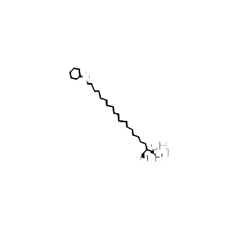 CC(C)(C)C([C]=O)CCCCCCCCCCCCCCCCCCOC1CC[CH]CC1